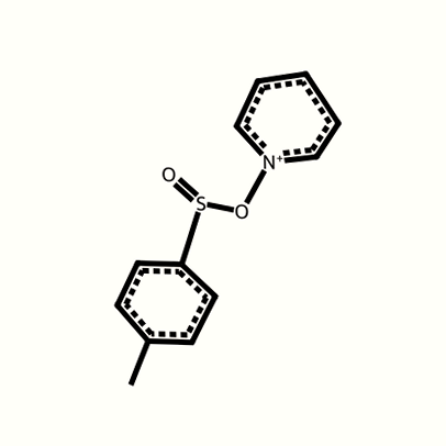 Cc1ccc(S(=O)O[n+]2ccccc2)cc1